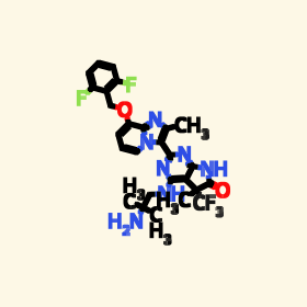 Cc1nc2c(OCc3c(F)cccc3F)cccn2c1-c1nc(NCC(C)(C)N)c2c(n1)NC(=O)C2(C)C(F)(F)F